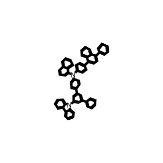 c1ccc(-c2cc(-c3ccc(N(c4ccc(-c5ccc(-c6ccccc6)c6ccccc56)cc4)c4cccc5ccccc45)cc3)cc(-n3c4ccccc4c4ccccc43)c2)cc1